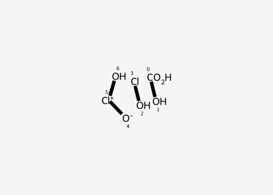 O=C(O)O.OCl.[O-][Cl+]O